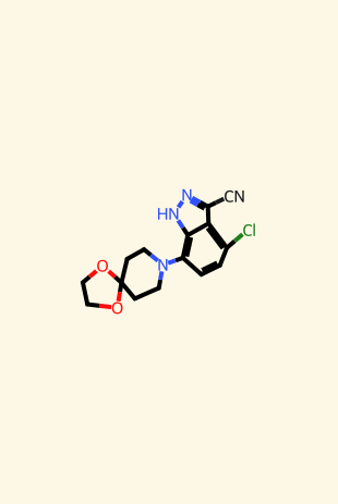 N#Cc1n[nH]c2c(N3CCC4(CC3)OCCO4)ccc(Cl)c12